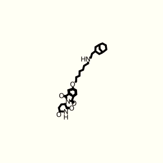 O=C1CCC(N2C(=O)c3ccc(OCCCCCCCNCCC4CC5CCCC(C5)C4)cc3C2=O)C(=O)N1